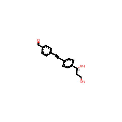 O=[C]c1ccc(C#Cc2ccc([C@H](O)CCO)cc2)cc1